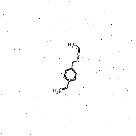 C=Cc1ccc(CN=C=CC)cc1